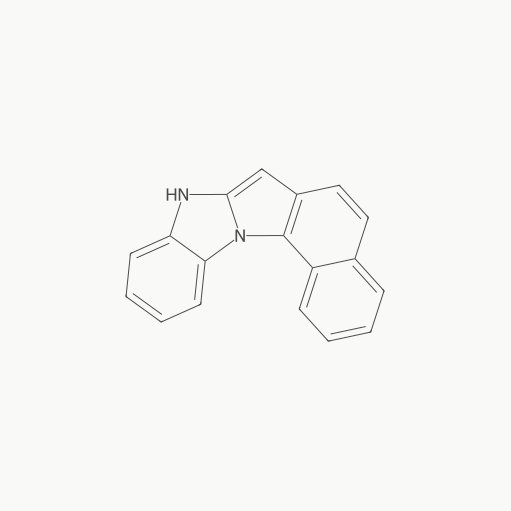 c1ccc2c(c1)ccc1cc3[nH]c4ccccc4n3c12